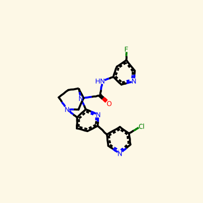 O=C(Nc1cncc(F)c1)N1c2nc(-c3cncc(Cl)c3)ccc2N2CCC1CC2